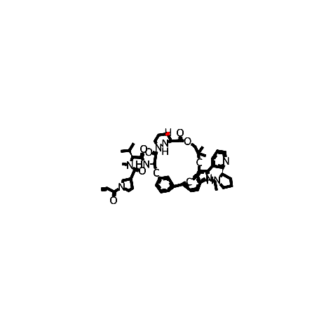 C=CC(=O)N1CCC(C(=O)N(C)[C@H](C(=O)N[C@H]2Cc3cccc(c3)-c3ccc4c(c3)c(c(-c3cccnc3[C@@H]3CCCN3)n4CC)CC(C)(C)COC(=O)[C@@H]3CCCN(N3)C2=O)C(C)C)C1